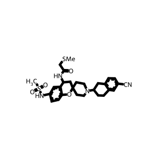 CSCC(=O)NC1CC2(CCN(C3CCc4cc(C#N)ccc4C3)CC2)Oc2ccc(NS(C)(=O)=O)cc21